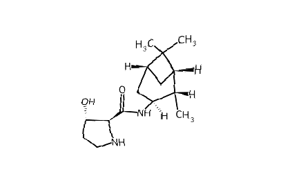 C[C@@H]1[C@@H](NC(=O)[C@H]2NCC[C@@H]2O)C[C@H]2C[C@@H]1C2(C)C